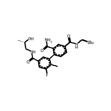 Cc1c(F)cc(C(=O)NC[C@H](C)O)cc1-c1ccc(C(=O)NCC(C)(C)C)cc1C(N)=O